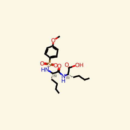 CCCC[C@H](NC(=O)[C@H](CCCC)NS(=O)(=O)c1ccc(OC)cc1)C(=O)O